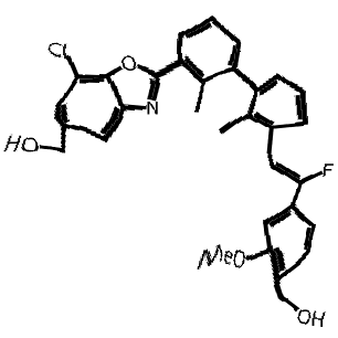 COc1cc(/C(F)=C/c2cccc(-c3cccc(-c4nc5cc(CO)cc(Cl)c5o4)c3C)c2C)ccc1CO